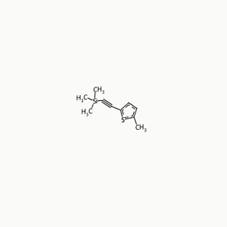 Cc1ccc(C#C[Si](C)(C)C)s1